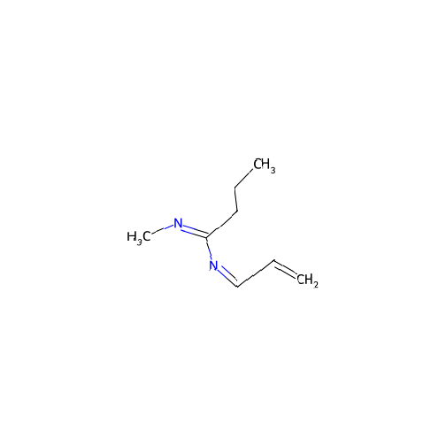 C=C/C=N\C(CCC)=N/C